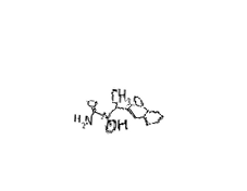 CC(c1cc2ccccc2o1)N(O)C(N)=O